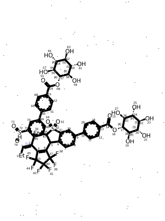 CC/C=C(\C1=C(C2c3ccc(-c4ccc(C(=O)O[C@H]5[C@H](O)[C@@H](O)[C@H](O)[C@@H](O)[C@@H]5O)cc4)cc3S(=O)(=O)C2CC)C(F)(F)C(F)(F)C1(F)F)c1ccc(-c2ccc(C(=O)O[C@H]3[C@H](O)[C@@H](O)[C@H](O)[C@@H](O)[C@@H]3O)cc2)cc1[SH](=O)=O